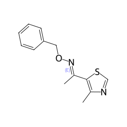 C/C(=N\OCc1ccccc1)c1scnc1C